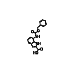 O=C(Nc1cccc2cc(C(=O)O)[nH]c12)OCc1ccccc1